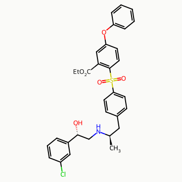 CCOC(=O)c1cc(Oc2ccccc2)ccc1S(=O)(=O)c1ccc(C[C@@H](C)NC[C@@H](O)c2cccc(Cl)c2)cc1